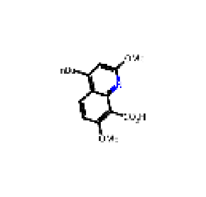 CCCCc1cc(OC)nc2c(C(=O)O)c(OC)ccc12